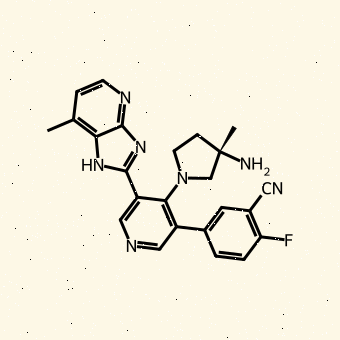 Cc1ccnc2nc(-c3cncc(-c4ccc(F)c(C#N)c4)c3N3CC[C@](C)(N)C3)[nH]c12